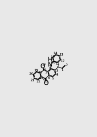 C=CCc1ccc2c(c1Nc1ccccc1)C(=O)c1ccccc1C2=O